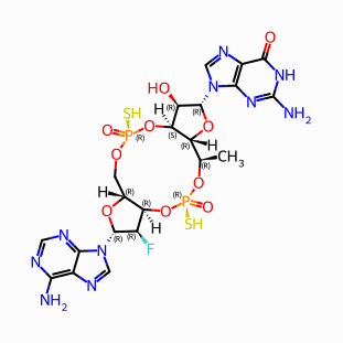 C[C@H]1O[P@@](=O)(S)O[C@H]2[C@@H](F)[C@H](n3cnc4c(N)ncnc43)O[C@@H]2CO[P@@](=O)(S)O[C@H]2[C@@H](O)[C@H](n3cnc4c(=O)[nH]c(N)nc43)O[C@@H]21